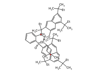 CCC(C)(C)c1cc(C(C)(C)CC)c2cc(OP(Oc3cc4c(C(C)(C)CC)cc(C(C)(C)CC)cc4cc3C(C)(C)CC)Oc3ccccc3S(=O)(=O)c3ccc(C)cc3)c(C(C)(C)CC)cc2c1